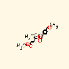 CCOC(=O)C=CC1C(C(=O)OCc2ccc(COC)cc2)C1(C)C